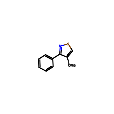 COc1csnc1-c1ccccc1